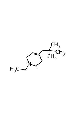 CCN1CC=C(CC(C)(C)C)CC1